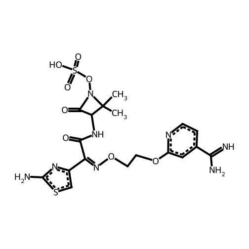 CC1(C)C(NC(=O)C(=NOCCOc2cc(C(=N)N)ccn2)c2csc(N)n2)C(=O)N1OS(=O)(=O)O